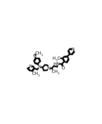 COc1ccc(N(Cc2cnccc2C)C2CCN([C@H](C)CCNC(=O)c3ccc(-c4ccncc4)cc3C)CC2)cc1